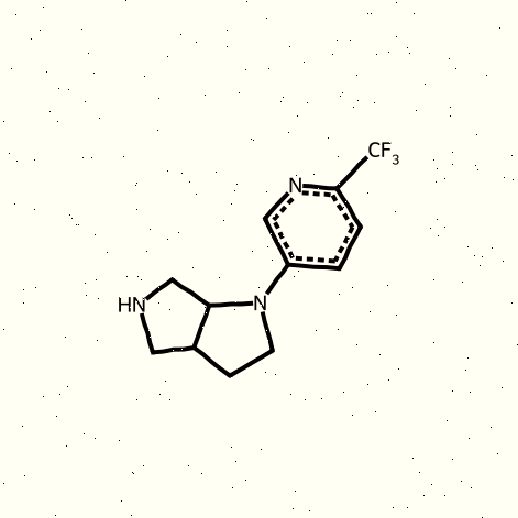 FC(F)(F)c1ccc(N2CCC3CNCC32)cn1